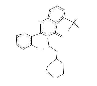 O=c1c2c(C(F)(F)F)nccc2nc(-c2ncccc2O)n1CCC1CCOCC1